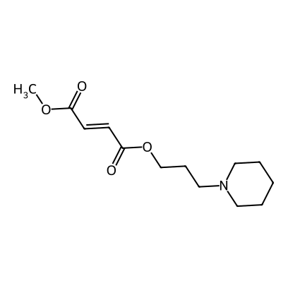 COC(=O)/C=C/C(=O)OCCCN1CCCCC1